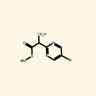 CC(C)(C)OC(=O)C(C(=O)O)c1ncc(Br)cn1